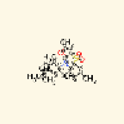 Cc1ccc2c(c1)S(=O)(=O)c1cc(C)oc1N2c1c(C)cc(C(C)(C)C)cc1C